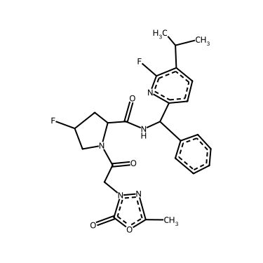 Cc1nn(CC(=O)N2CC(F)CC2C(=O)NC(c2ccccc2)c2ccc(C(C)C)c(F)n2)c(=O)o1